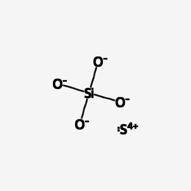 [O-][Si]([O-])([O-])[O-].[S+4]